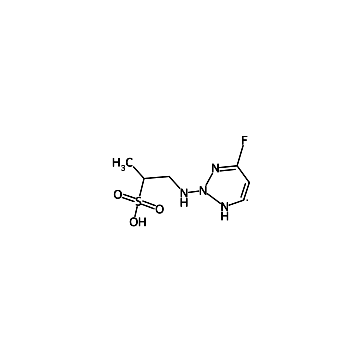 CC(CNN1N=C(F)C=[C]N1)S(=O)(=O)O